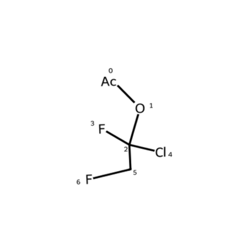 CC(=O)OC(F)(Cl)CF